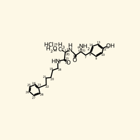 C[C@@H](NC(=O)[C@@H](N)Cc1ccc(O)cc1)C(=O)NCCCCCc1ccccc1.Cl.O